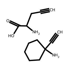 C#CC1(N)CCCCC1.C#CCC(N)C(=O)O